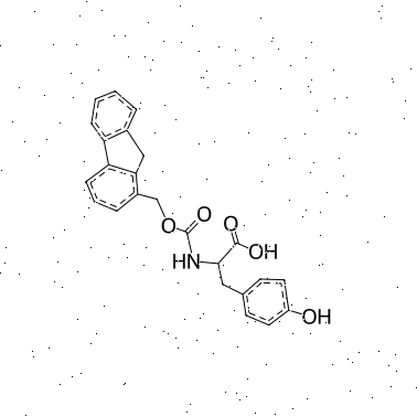 O=C(NC(Cc1ccc(O)cc1)C(=O)O)OCc1cccc2c1Cc1ccccc1-2